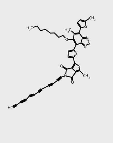 C#CC#CC#CC#CC#CC#CN1C(=O)c2c(C)sc(-c3ccc(-c4c(OCCCCCCCC)c(C)c(-c5ccc(C)s5)c5nsnc45)s3)c2C1=O